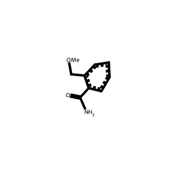 COCc1ccccc1C(N)=O